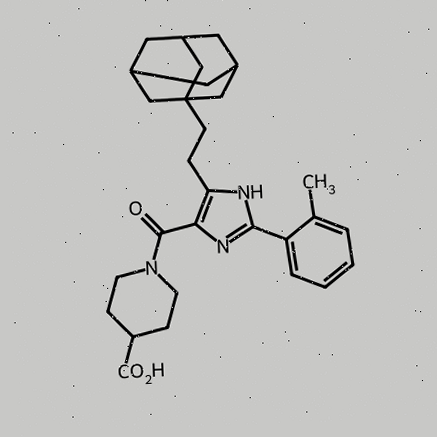 Cc1ccccc1-c1nc(C(=O)N2CCC(C(=O)O)CC2)c(CCC23CC4CC(CC(C4)C2)C3)[nH]1